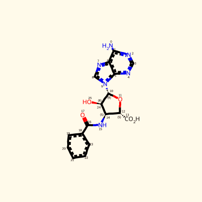 Nc1ncnc2c1ncn2[C@@H]1O[C@H](C(=O)O)[C@@H](NC(=O)c2ccccc2)[C@H]1O